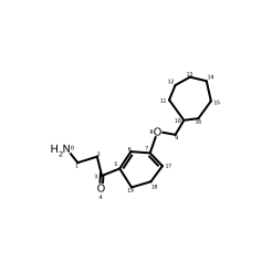 NCCC(=O)C1=CC(OCC2CCCCCC2)=CCC1